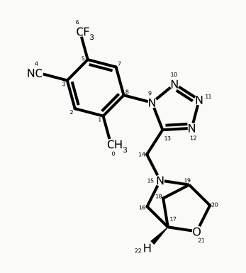 Cc1cc(C#N)c(C(F)(F)F)cc1-n1nnnc1CN1C[C@@H]2CC1CO2